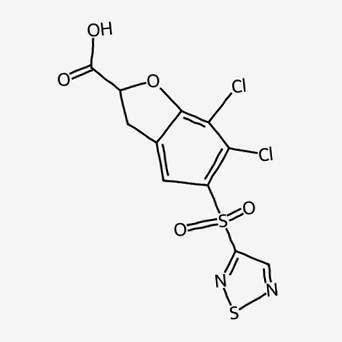 O=C(O)C1Cc2cc(S(=O)(=O)c3cnsn3)c(Cl)c(Cl)c2O1